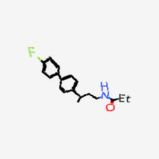 CCC(=O)NCCC(C)c1ccc(-c2ccc(F)cc2)cc1